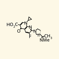 CN[C@H](C)[C@H]1CCN(c2nc3c(cc2F)c(=O)c(C(=O)O)cn3C2CC2)C1